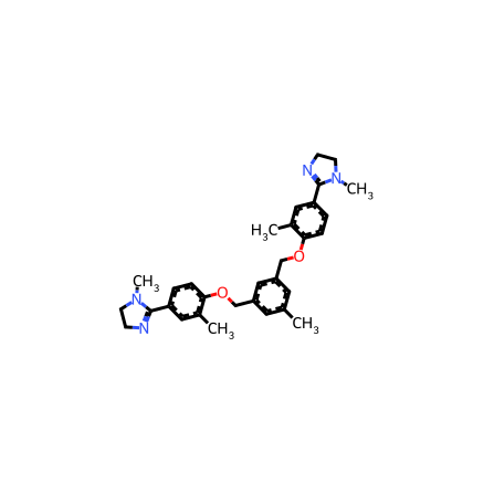 Cc1cc(COc2ccc(C3=NCCN3C)cc2C)cc(COc2ccc(C3=NCCN3C)cc2C)c1